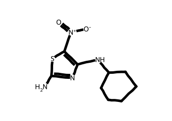 Nc1nc(NC2CCCCC2)c([N+](=O)[O-])s1